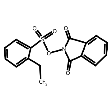 O=C1c2ccccc2C(=O)N1OS(=O)(=O)c1ccccc1CC(F)(F)F